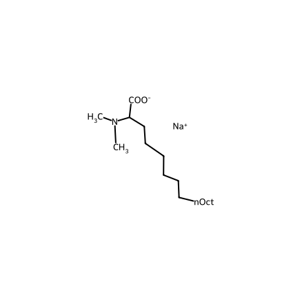 CCCCCCCCCCCCCCC(C(=O)[O-])N(C)C.[Na+]